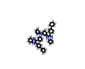 c1ccc(-c2ccc(-c3nc4ccccc4nc3-c3cccc(N(c4ccccc4)c4cccc(-c5nc6ccccc6nc5-c5ccc(-c6ccccc6)cc5)c4)c3)cc2)cc1